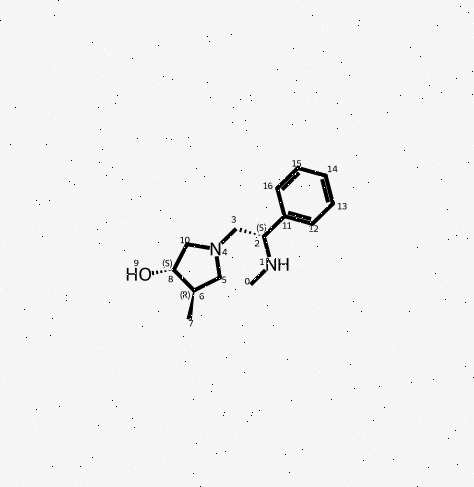 CN[C@H](CN1C[C@@H](C)[C@H](O)C1)c1ccccc1